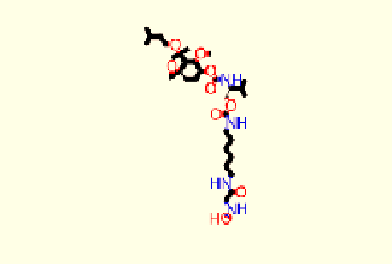 COC1C(OC(=O)N[C@@H](COC(=O)NCCCCCCNC(=O)CNO)C(C)C)CC[C@]2(CO2)C1C(C)(C)OCC=C(C)C